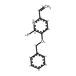 C=Cc1ccc(OCc2ccccc2)c(F)n1